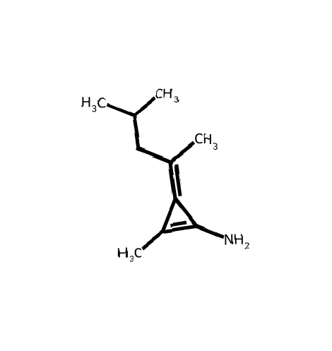 CC1=C(N)C/1=C(\C)CC(C)C